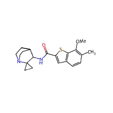 COc1c(C)ccc2cc(C(=O)NC3C4CCN(CC4)C34CC4)sc12